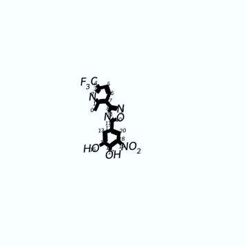 Cc1nc(C(F)(F)F)ccc1-c1noc(-c2cc(O)c(O)c([N+](=O)[O-])c2)n1